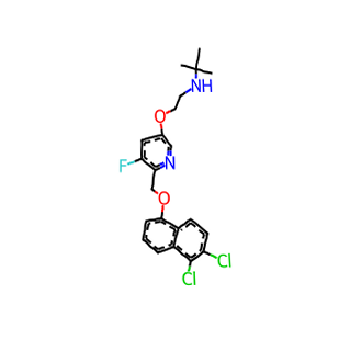 CC(C)(C)NCCOc1cnc(COc2cccc3c(Cl)c(Cl)ccc23)c(F)c1